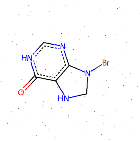 O=c1[nH]cnc2c1NCN2Br